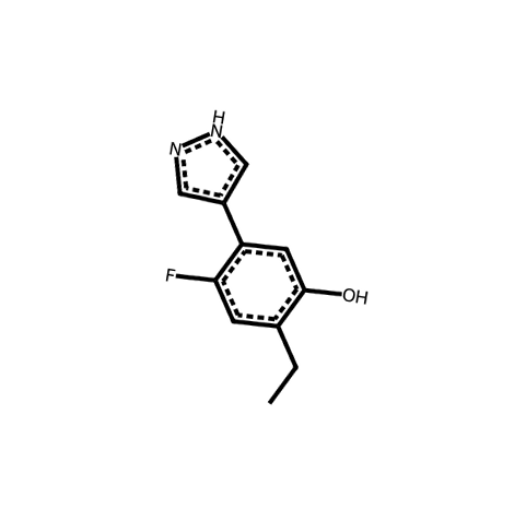 CCc1cc(F)c(-c2cn[nH]c2)cc1O